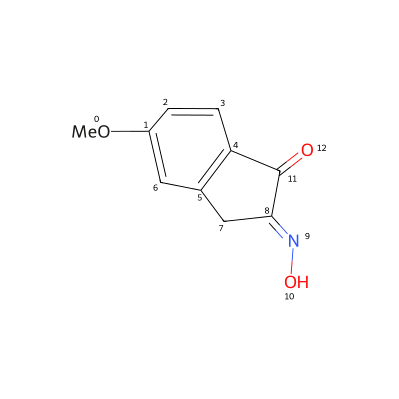 COc1ccc2c(c1)CC(=NO)C2=O